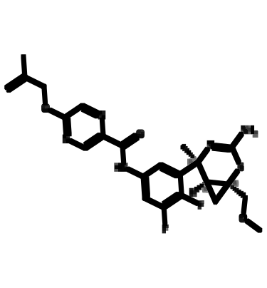 C=C(C)COc1cnc(C(=O)Nc2cc(F)c(F)c([C@@]3(C)N=C(N)S[C@@]4(COC)C[C@H]43)c2)cn1